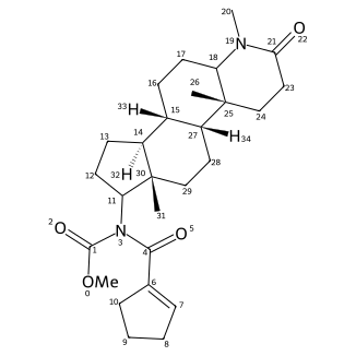 COC(=O)N(C(=O)C1=CCCC1)C1CC[C@H]2[C@@H]3CCC4N(C)C(=O)CC[C@]4(C)[C@@H]3CC[C@]12C